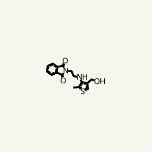 Cc1scc(CO)c1NCCN1C(=O)c2ccccc2C1=O